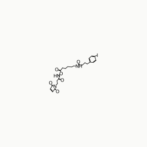 O=C(CCCc1ccc(I)cc1)NCCCCCC(=O)ONC(=O)CCN1C(=O)C=CC1=O